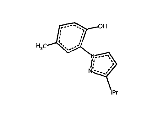 Cc1ccc(O)c(-n2ccc(C(C)C)n2)c1